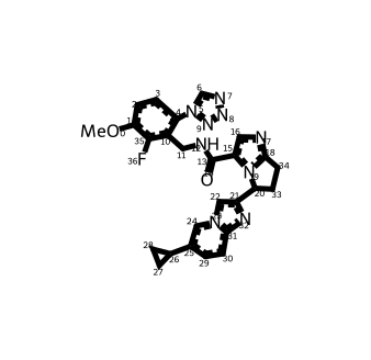 COc1ccc(-n2cnnn2)c(CNC(=O)c2cnc3n2C(c2cn4cc(C5CC5)ccc4n2)CC3)c1F